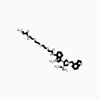 C=CC(=O)NCCOCCOCCOCC(=O)Nc1cccc2c([C@H]3CN(Cc4cccc5occc45)C[C@@H]3N(C)C)cn(C)c12